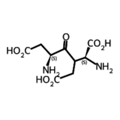 N[C@H](C(=O)O)C(CC(=O)O)C(=O)[C@@H](N)CC(=O)O